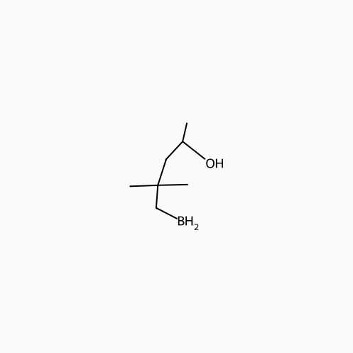 BCC(C)(C)CC(C)O